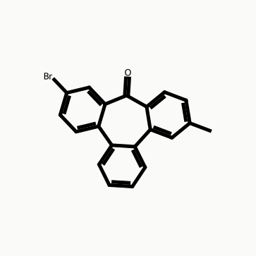 Cc1ccc2c(=O)c3cc(Br)ccc3c3ccccc3c2c1